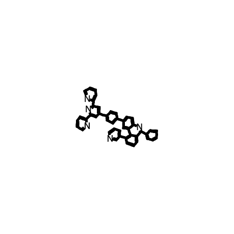 c1ccc(-c2nc3ccc(-c4ccc(-c5cc(-c6ccccn6)nc(-c6ccccn6)c5)cc4)cc3c3c(-c4cccnc4)cccc23)cc1